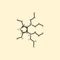 CCCP(CCC)c1c(CC)sc(CC)c1P(CCC)CCC